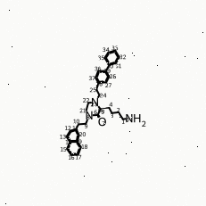 NCCCC[C@H]1C(=O)N(CCc2ccc3ccccc3c2)CCN1CCc1ccc(-c2ccccc2)cc1